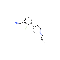 C=CCN1CCC(c2cccc(C#N)c2F)CC1